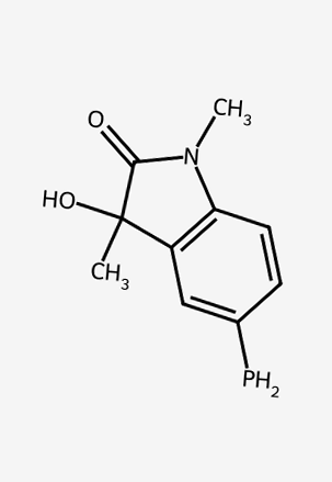 CN1C(=O)C(C)(O)c2cc(P)ccc21